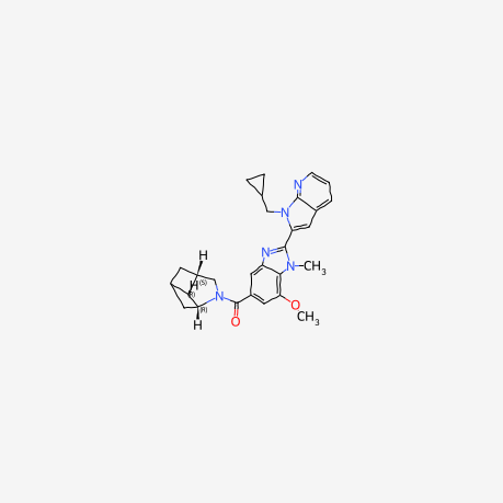 COc1cc(C(=O)N2C[C@H]3CC4C[C@@H]2[C@H]43)cc2nc(-c3cc4cccnc4n3CC3CC3)n(C)c12